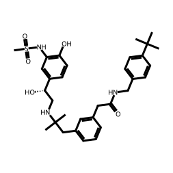 CC(C)(Cc1cccc(CC(=O)NCc2ccc(C(C)(C)C)cc2)c1)NC[C@H](O)c1ccc(O)c(NS(C)(=O)=O)c1